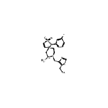 CC(C)Cc1ocnc1CN1CC[C@]2(C=CS(=O)(=O)N2c2cccc(F)c2)C[C@@H]1C